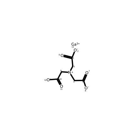 O=C([O-])CN(CC(=O)[O-])CC(=O)[O-].[Ga+3]